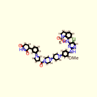 COc1cc(N2CCC(N3CCN(C(=O)[C@@H]4CCN(c5cccc(C6CCC(=O)NC6=O)c5)C4)CC3)CC2)ccc1Nc1ncc(Cl)c(Nc2cccc3c2N(S(C)(=O)=O)CC3)n1